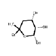 CCC1(C)C[C@H](O)[C@H](O)[C@H](O)O1